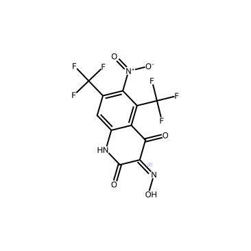 O=C1Nc2cc(C(F)(F)F)c([N+](=O)[O-])c(C(F)(F)F)c2C(=O)/C1=N/O